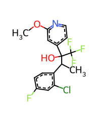 COc1cc(C(O)(C(C)c2ccc(F)cc2Cl)C(F)(F)F)ccn1